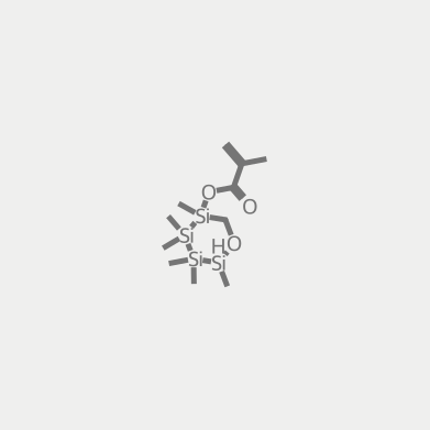 C=C(C)C(=O)O[Si]1(C)CO[SiH](C)[Si](C)(C)[Si]1(C)C